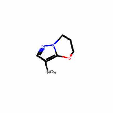 O=[N+]([O-])c1cnn2c1OCCC2